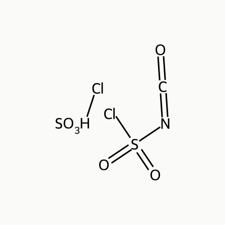 O=C=NS(=O)(=O)Cl.O=S(=O)(O)Cl